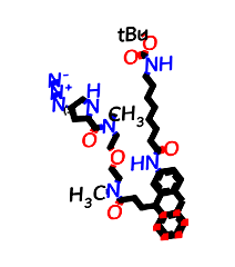 CN(CCOCCN(C)C(=O)C1C[C@H](N=[N+]=[N-])CN1)C(=O)CCC12c3ccccc3C(c3ccc(NC(=O)CCCCCCCNC(=O)OC(C)(C)C)cc31)C1C=CC=CC12